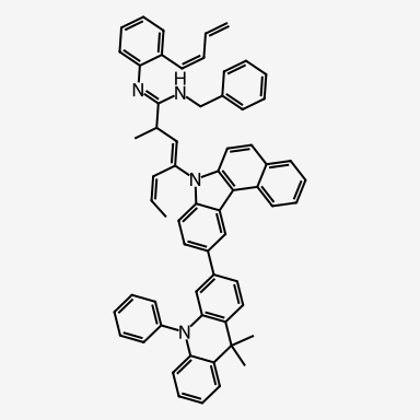 C=C/C=C\c1ccccc1/N=C(\NCc1ccccc1)C(C)/C=C(\C=C/C)n1c2ccc(-c3ccc4c(c3)N(c3ccccc3)c3ccccc3C4(C)C)cc2c2c3ccccc3ccc21